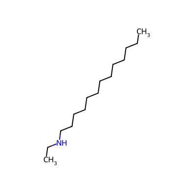 CCCCCCCCCCCCCNCC